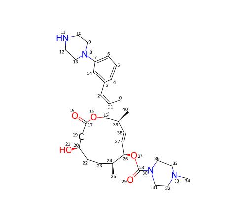 C/C(=C\c1cccc(N2CCNCC2)c1)[C@H]1OC(=O)C[C@H](O)CC[C@H](C)[C@H](OC(=O)N2CCN(C)CC2)/C=C/[C@@H]1C